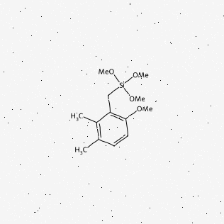 COc1ccc(C)c(C)c1C[Si](OC)(OC)OC